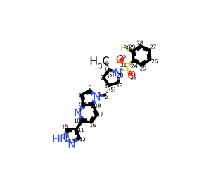 C[C@H]1C[C@@H](Cn2ccc3nc(-c4cn[nH]c4)ccc32)CN1S(=O)(=O)c1ccccc1F